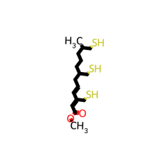 COC(=O)C=C(C=CCC(CS)CCCC(C)CS)CS